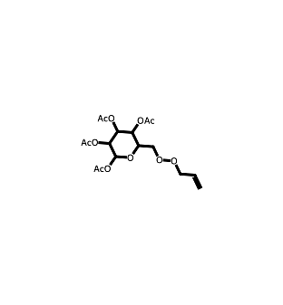 C=CCOOCC1OC(OC(C)=O)C(OC(C)=O)C(OC(C)=O)C1OC(C)=O